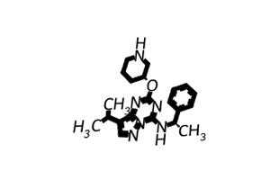 CC(C)c1cnn2c(N[C@@H](C)c3ccccc3)nc(O[C@@H]3CCCNC3)nc12